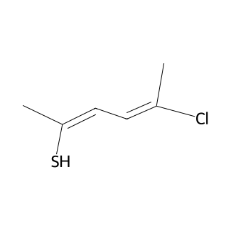 C/C(S)=C/C=C(\C)Cl